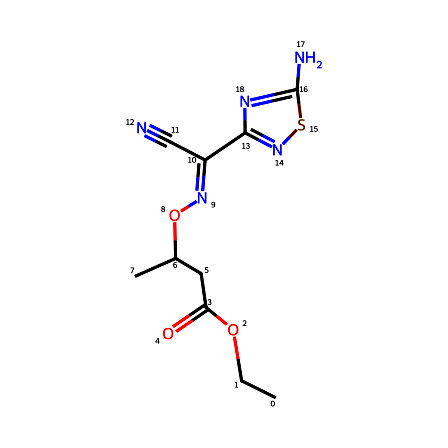 CCOC(=O)CC(C)ON=C(C#N)c1nsc(N)n1